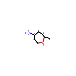 CC1CCC(N)CCO1